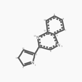 C1=NC(c2cnc3ccccc3n2)=CC1